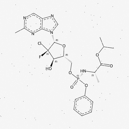 Cc1ncc2ncn([C@@H]3O[C@H](CO[P@@](=O)(N[C@@H](C)C(=O)OC(C)C)Oc4ccccc4)[C@@H](O)[C@]3(F)Cl)c2n1